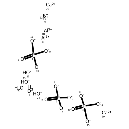 O.O.O=P([O-])([O-])[O-].O=P([O-])([O-])[O-].O=P([O-])([O-])[O-].[Al+3].[Al+3].[Ca+2].[Ca+2].[K+].[K+].[OH-].[OH-].[OH-]